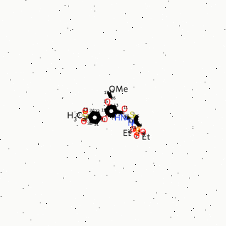 CCOP(=O)(Cc1csc(NC(=O)c2cc(OCCOC)cc(Oc3ccc(S(C)(=O)=O)cc3)c2)n1)OCC